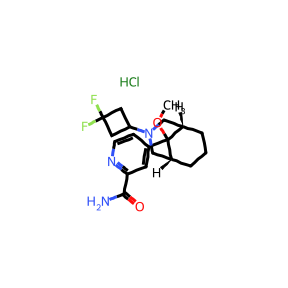 COC1(c2ccnc(C(N)=O)c2)[C@@H]2CCC[C@H]1CN(C1CC(F)(F)C1)C2.Cl